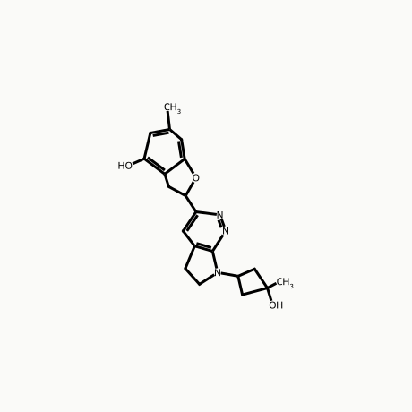 Cc1cc(O)c2c(c1)OC(c1cc3c(nn1)N(C1CC(C)(O)C1)CC3)C2